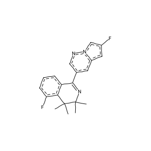 CC1(C)N=C(c2cnn3cc(F)cc3c2)c2cccc(F)c2C1(C)C